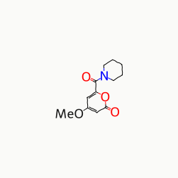 COc1cc(C(=O)N2CCCCC2)oc(=O)c1